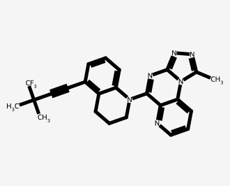 Cc1nnc2nc(N3CCCc4c(C#CC(C)(C)C(F)(F)F)cccc43)c3ncccc3n12